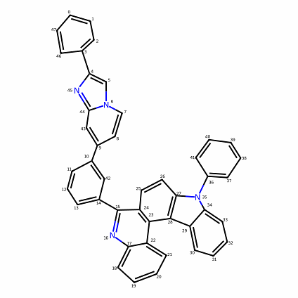 c1ccc(-c2cn3ccc(-c4cccc(-c5nc6ccccc6c6c5ccc5c6c6ccccc6n5-c5ccccc5)c4)cc3n2)cc1